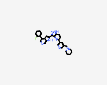 Fc1ccccc1-c1cncc2[nH]c(-c3n[nH]c4ccc(-c5cncc(CN6CCCCC6)c5)nc34)cc12